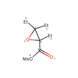 CCC1(CC)OC1(CC)C(=O)OC